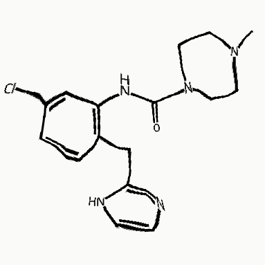 CN1CCN(C(=O)Nc2cc(Cl)ccc2Cc2ncc[nH]2)CC1